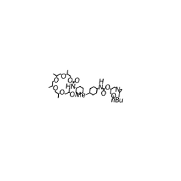 CCCCOCC(CN1CC1C)OC(=O)NC1CCC(C[C@H]2CC[C@@H](NC(=O)OCC(C)OCC(C)OCC(C)OCC(C)OCC(C)OC)CC2)CC1